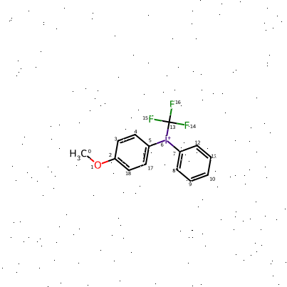 COc1ccc([I+](c2ccccc2)C(F)(F)F)cc1